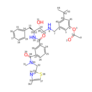 CC(=O)Oc1cc(CNC[C@@H](O)[C@H](Cc2ccccc2)NC(=O)c2cccc(C(=O)N(C)Cc3nc(C)cs3)c2)cc(C(C)C)c1